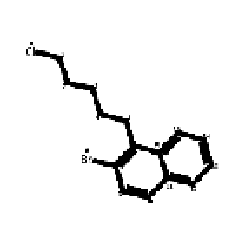 ClCCCCCc1c(Br)ccc2ccccc12